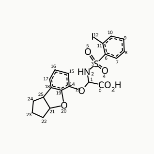 O=C(O)C(NS(=O)(=O)c1ccccc1I)Oc1cccc2c1OC1CCCC21